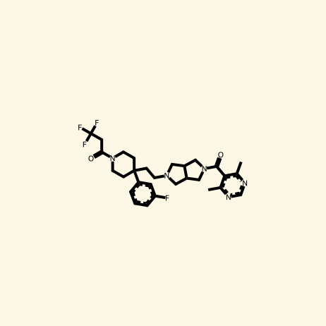 Cc1ncnc(C)c1C(=O)N1CC2CN(CCC3(c4cccc(F)c4)CCN(C(=O)CC(F)(F)F)CC3)CC2C1